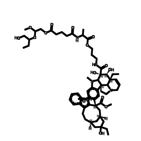 CCC(CO)OC(COC(=O)CCCC(=O)NC(C)C(=O)OCCCNC(=O)[C@]1(O)C2N(C)c3cc(OC)c([C@@]4(C(=O)OC)C[C@@H]5C[C@H](CCc6c4[nH]c4ccccc64)CC(O)(CC)C5)cc3[C@@]23CCN2CC=C[C@](CC)(C23)[C@H]1O)OC